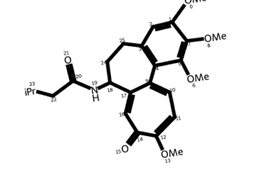 COc1cc2c(c(OC)c1OC)-c1ccc(OC)c(=O)cc1C(NC(=O)CC(C)C)CC2